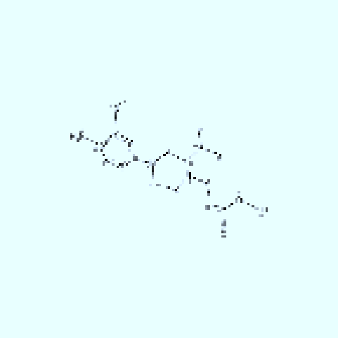 COc1cc(N2CCN(CCC(=O)OS)[C@@H](C(C)C)C2)ccc1N